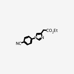 CCOC(=O)Cc1cn(-c2ccc(C#N)cc2)cn1